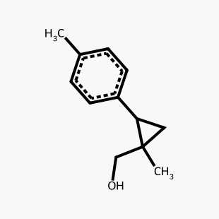 Cc1ccc(C2CC2(C)CO)cc1